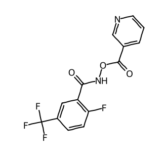 O=C(ONC(=O)c1cc(C(F)(F)F)ccc1F)c1cccnc1